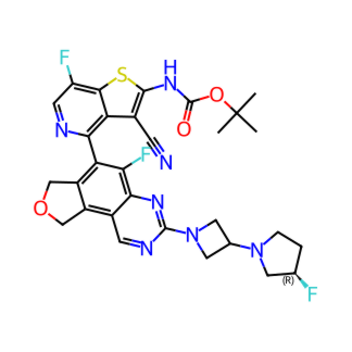 CC(C)(C)OC(=O)Nc1sc2c(F)cnc(-c3c4c(c5cnc(N6CC(N7CC[C@@H](F)C7)C6)nc5c3F)COC4)c2c1C#N